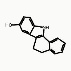 Oc1ccc2[nH]c3c(c2c1)CCc1ccccc1-3